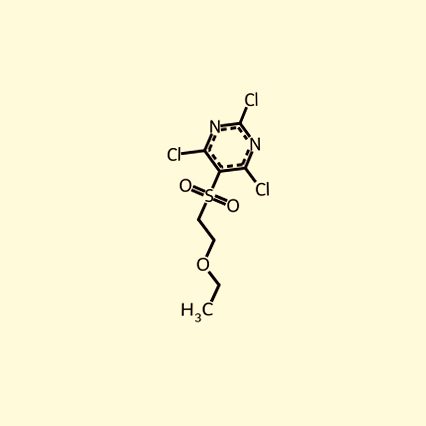 CCOCCS(=O)(=O)c1c(Cl)nc(Cl)nc1Cl